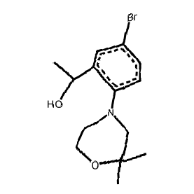 CC(O)c1cc(Br)ccc1N1CCOC(C)(C)C1